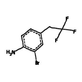 Nc1ccc(CC(F)(F)F)cc1Br